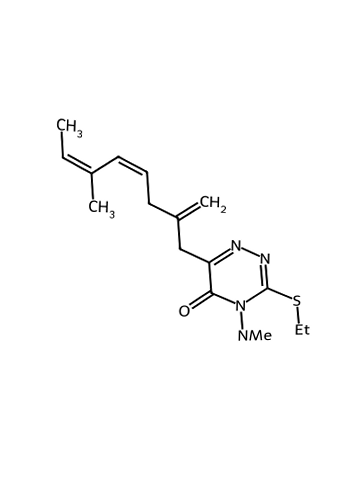 C=C(C/C=C\C(C)=C/C)Cc1nnc(SCC)n(NC)c1=O